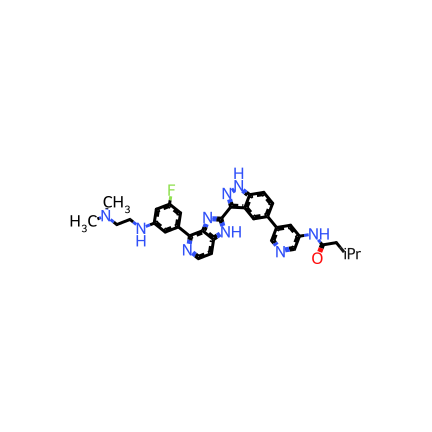 CC(C)CC(=O)Nc1cncc(-c2ccc3[nH]nc(-c4nc5c(-c6cc(F)cc(NCCN(C)C)c6)nccc5[nH]4)c3c2)c1